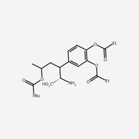 CCCCC(=O)OC(C)CC(c1ccc(OC(=O)CC)c(OC(=O)CC)c1)[C@H](N)C(=O)O